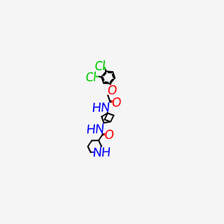 O=C(COc1ccc(Cl)c(Cl)c1)NC12CC(C1)C(NC(=O)C1CCCNC1)C2